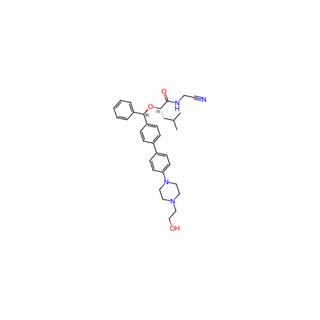 CC(C)C[C@H](O[C@H](c1ccccc1)c1ccc(-c2ccc(N3CCN(CCO)CC3)cc2)cc1)C(=O)NCC#N